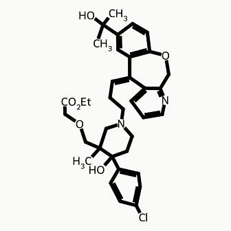 CCOC(=O)COCC1(C)CN(CC/C=C2/c3cc(C(C)(C)O)ccc3OCc3ncccc32)CCC1(O)c1ccc(Cl)cc1